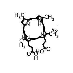 CC1=Cc2cc3[nH]c(cc4nc(cc5[nH]c(cc1n2)cc5C)C(C)=C4CCC(=O)O)c(CCC(=O)O)c3C.[As]